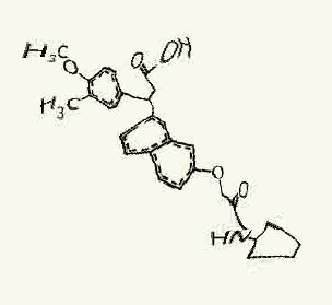 COc1ccc(C(CC(=O)O)c2ccc3ccc(OCC(=O)NC4CCCCCC4)cc3c2)cc1C